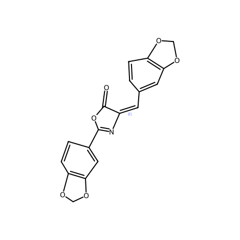 O=C1OC(c2ccc3c(c2)OCO3)=N/C1=C/c1ccc2c(c1)OCO2